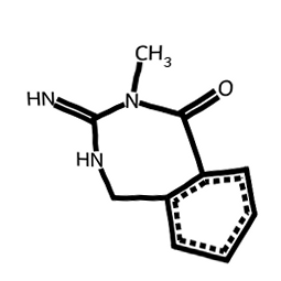 CN1C(=N)NCc2ccccc2C1=O